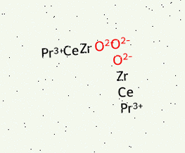 [Ce].[Ce].[O-2].[O-2].[O-2].[Pr+3].[Pr+3].[Zr].[Zr]